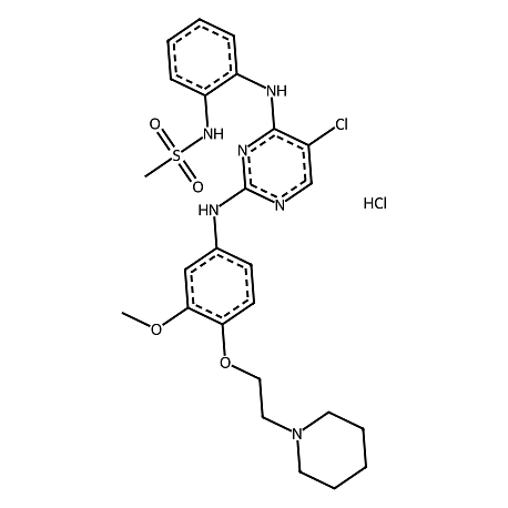 COc1cc(Nc2ncc(Cl)c(Nc3ccccc3NS(C)(=O)=O)n2)ccc1OCCN1CCCCC1.Cl